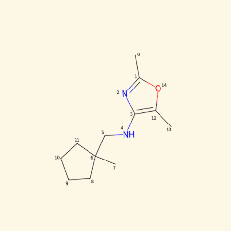 Cc1nc(NCC2(C)CCCC2)c(C)o1